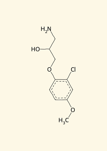 COc1ccc(OCC(O)CN)c(Cl)c1